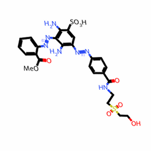 COC(=O)c1ccccc1/N=N/c1c(N)c(/N=N/c2ccc(C(=O)NCCS(=O)(=O)CCO)cc2)cc(S(=O)(=O)O)c1N